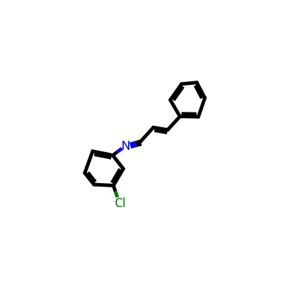 Clc1cccc(/N=C/C=C/c2ccccc2)c1